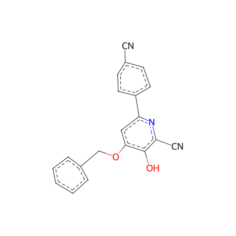 N#Cc1ccc(-c2cc(OCc3ccccc3)c(O)c(C#N)n2)cc1